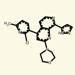 Cc1ccc(-c2cc(N3CCOCC3)nc3c(-c4ccn[nH]4)nccc23)c(Cl)n1